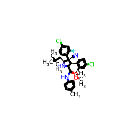 COc1cc(C)ccc1NC(=O)C1N[C@@H](CC(C)(C)C)[C@](C#N)(c2ccc(Cl)cc2F)[C@H]1c1ccc(Cl)cc1C